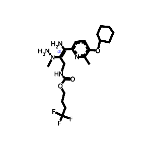 Cc1nc(/C(N)=C(\CNC(=O)OCCCC(F)(F)F)N(C)N)ccc1OC1CCCCC1